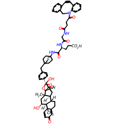 C[C@]12C=CC(=O)C=C1CC[C@@H]1[C@@H]2[C@@H](O)C[C@@]2(C)[C@H]1C[C@H]1O[C@@H](c3ccc(CC45CCC(NC(=O)[C@H](CCC(=O)O)NC(=O)CNC(=O)CCC(=O)N6Cc7ccccc7C#Cc7ccccc76)(CC4)CC5)cc3)O[C@]12C(=O)CO